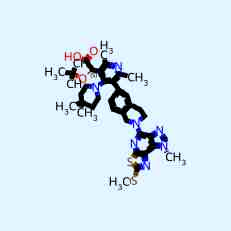 CSc1nc2c(nc(N3CCc4cc(-c5c(C)nc(C)c([C@H](OC(C)(C)C)C(=O)O)c5N5CCC(C)(C)CC5)ccc4C3)c3ncn(C)c32)s1